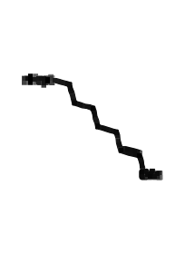 CCCCCCCCCCCCC=COC(C)=O